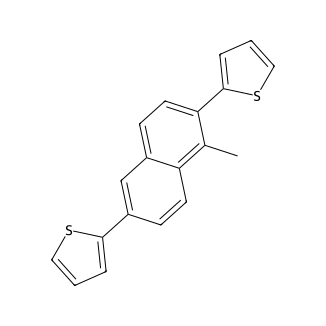 Cc1c(-c2cccs2)ccc2cc(-c3cccs3)ccc12